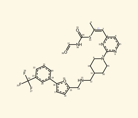 C/C(=C/c1ccnc(N2CCC(CNCc3ccc(-c4cccc(C(F)(F)F)c4)o3)CC2)n1)SC(=O)NC=O